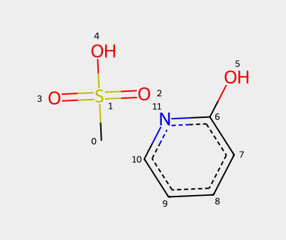 CS(=O)(=O)O.Oc1ccccn1